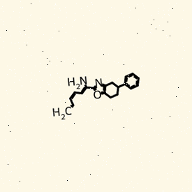 C=C/C=C\C=C(/N)c1nc2c(o1)CCC(c1ccccc1)C2